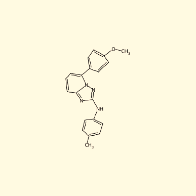 COc1ccc(-c2cccc3nc(Nc4ccc(C)cc4)nn23)cc1